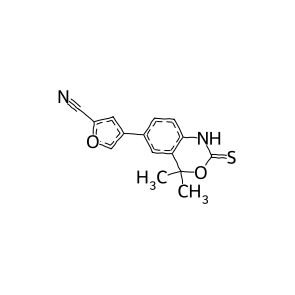 CC1(C)OC(=S)Nc2ccc(-c3coc(C#N)c3)cc21